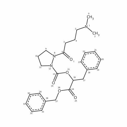 CN(C)CCCC(=O)N1CCCN1C(=O)OC(Cc1ccccc1)C(=O)OCc1ccccc1